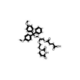 COc1ccc(C(OC[C@H](COC(=O)CCC(=O)O)OCCn2ccc(=O)[nH]c2=O)(c2ccccc2)c2ccc(OC)cc2)cc1